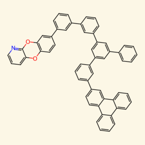 c1ccc(-c2cc(-c3cccc(-c4cccc(-c5ccc6c(c5)Oc5ncccc5O6)c4)c3)cc(-c3cccc(-c4ccc5c6ccccc6c6ccccc6c5c4)c3)c2)cc1